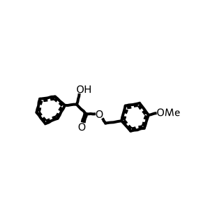 COc1ccc(COC(=O)C(O)c2ccccc2)cc1